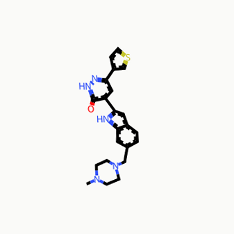 CN1CCN(Cc2ccc3cc(-c4cc(-c5ccsc5)n[nH]c4=O)[nH]c3c2)CC1